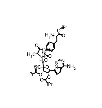 COC(=O)[C@H](C)N[P@@](=O)(OC[C@@]1(C#N)O[C@@H](c2ccc3c(N)ncnn23)[C@H](OC(=O)C(C)C)[C@@H]1OC(=O)C(C)C)Oc1ccc(C[C@H](N)C(=O)OC(C)C)cc1